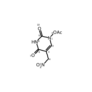 CC(=O)On1cc(C[N+](=O)[O-])c(=O)[nH]c1=O